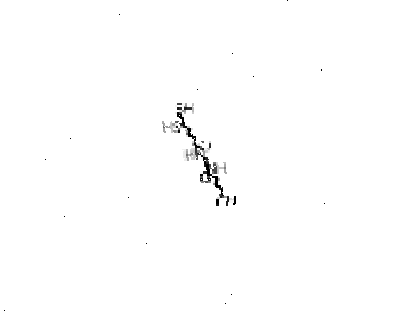 C#CCCCC(=O)NCCNC(=O)CCCCC(S)CCS